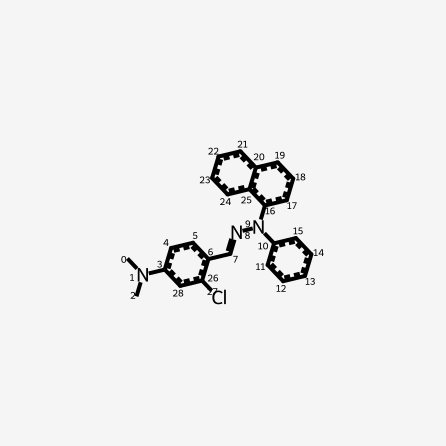 CN(C)c1ccc(C=NN(c2ccccc2)c2cccc3ccccc23)c(Cl)c1